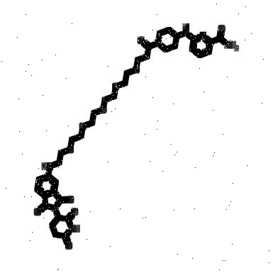 NC(=O)c1cccc(NC2CCN(C(=O)CCOCCOCCOCCOCCOCCNc3ccc4c(c3)C(=O)N(C3CCC(=O)NC3=O)C4=O)CC2)n1